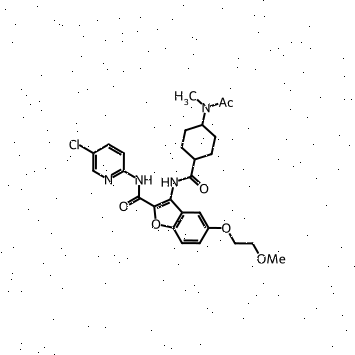 COCCOc1ccc2oc(C(=O)Nc3ccc(Cl)cn3)c(NC(=O)C3CCC(N(C)C(C)=O)CC3)c2c1